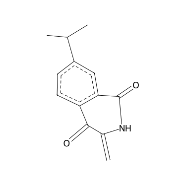 C=C1NC(=O)c2cc(C(C)C)ccc2C1=O